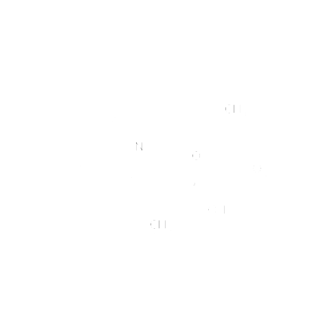 CC(=O)OC(O)C(C)c1ccccn1